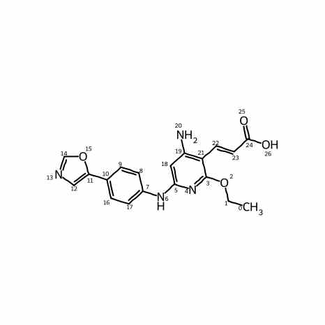 CCOc1nc(Nc2ccc(-c3cnco3)cc2)cc(N)c1/C=C/C(=O)O